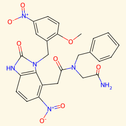 COc1ccc([N+](=O)[O-])cc1Cn1c(=O)[nH]c2ccc([N+](=O)[O-])c(CC(=O)N(CC(N)=O)Cc3ccccc3)c21